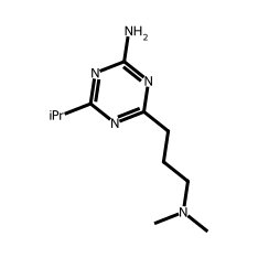 CC(C)c1nc(N)nc(CCCN(C)C)n1